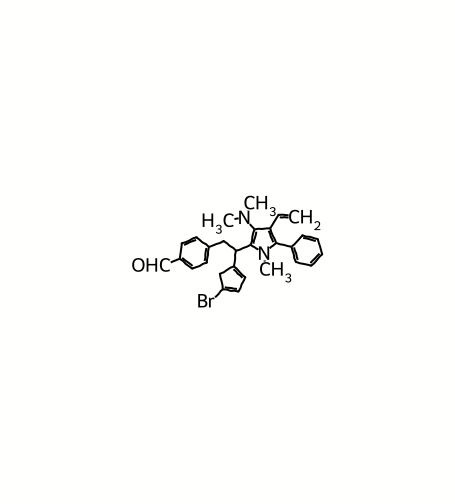 C=Cc1c(N(C)C)c(C(Cc2ccc(C=O)cc2)C2=CC=C(Br)C2)n(C)c1-c1ccccc1